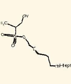 CCCCCCCCCCCCOS(=O)(=O)C(C)CO